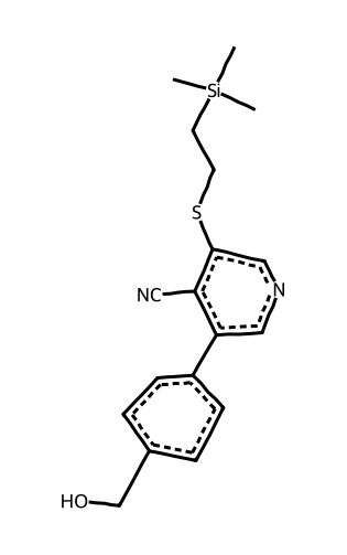 C[Si](C)(C)CCSc1cncc(-c2ccc(CO)cc2)c1C#N